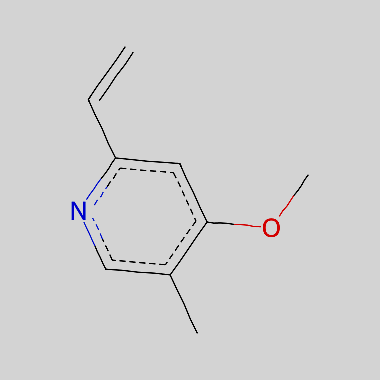 C=Cc1cc(OC)c(C)cn1